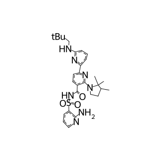 CC1CCN(c2nc(-c3cccc(NCC(C)(C)C)n3)ccc2C(=O)NS(=O)(=O)c2cccnc2N)C1(C)C